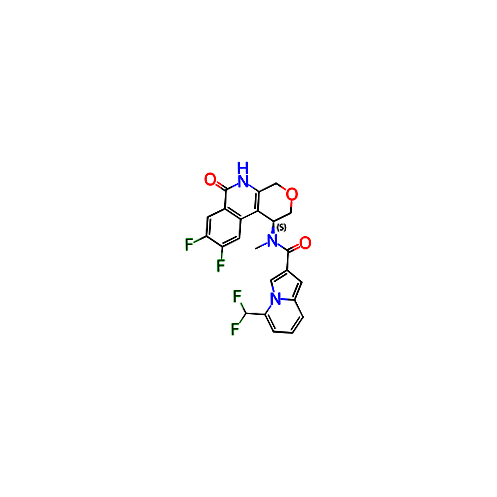 CN(C(=O)c1cc2cccc(C(F)F)n2c1)[C@@H]1COCc2[nH]c(=O)c3cc(F)c(F)cc3c21